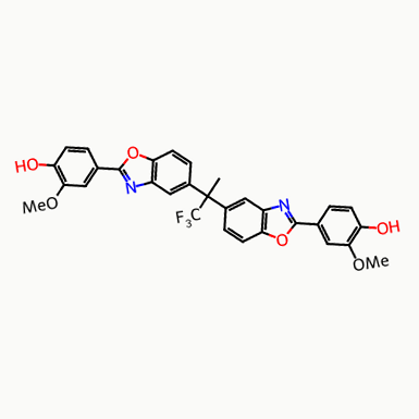 COc1cc(-c2nc3cc(C(C)(c4ccc5oc(-c6ccc(O)c(OC)c6)nc5c4)C(F)(F)F)ccc3o2)ccc1O